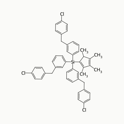 CC1=C(C)C(C)C([Si](c2cccc(Cc3ccc(Cl)cc3)c2)(c2cccc(Cc3ccc(Cl)cc3)c2)c2cccc(Cc3ccc(Cl)cc3)c2)=C1C